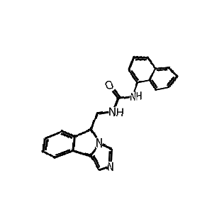 O=C(NCC1c2ccccc2-c2cncn21)Nc1cccc2ccccc12